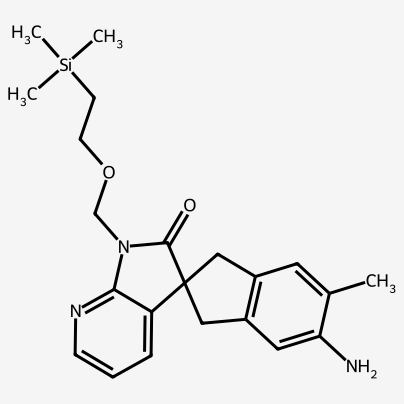 Cc1cc2c(cc1N)CC1(C2)C(=O)N(COCC[Si](C)(C)C)c2ncccc21